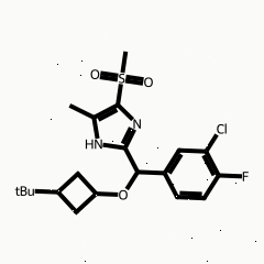 Cc1[nH]c(C(OC2CC(C(C)(C)C)C2)c2ccc(F)c(Cl)c2)nc1S(C)(=O)=O